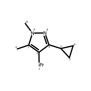 Cc1c(C(C)C)c(C2CC2)nn1C